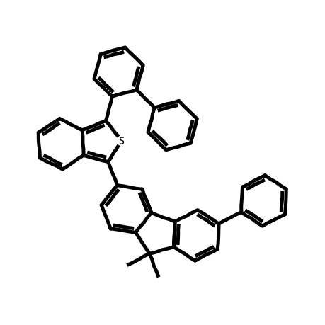 CC1(C)c2ccc(-c3ccccc3)cc2-c2cc(-c3sc(-c4ccccc4-c4ccccc4)c4ccccc34)ccc21